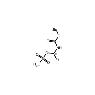 CC[C@H](NC(=O)OC(C)(C)C)OS(C)(=O)=O